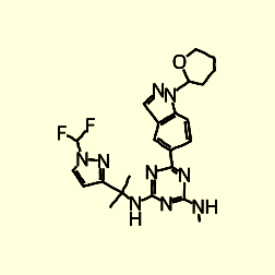 CNc1nc(NC(C)(C)c2ccn(C(F)F)n2)nc(-c2ccc3c(cnn3C3CCCCO3)c2)n1